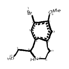 COc1cc2c(cc1Br)C(CO)NCC2